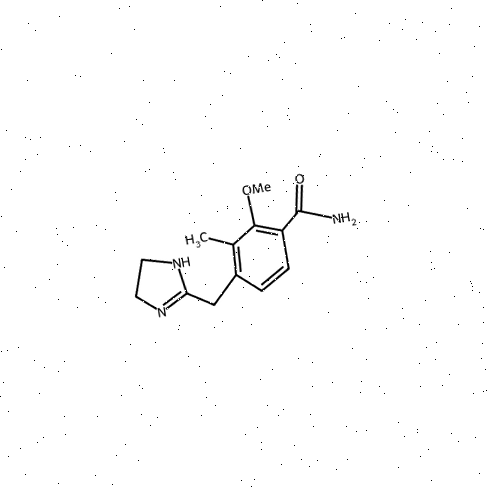 COc1c(C(N)=O)ccc(CC2=NCCN2)c1C